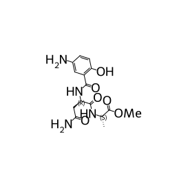 COC(=O)[C@H](C)NC(=O)[C@@H](CC(N)=O)NC(=O)c1cc(N)ccc1O